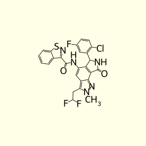 Cn1nc2c3c(c(NC(=O)c4nsc5ccccc45)cc2c1CC(F)F)C(c1cc(F)ccc1Cl)NC3=O